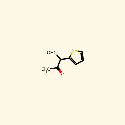 O=CC(C(=O)C(Cl)(Cl)Cl)c1cccs1